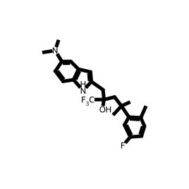 Cc1ccc(F)cc1C(C)(C)CC(O)(Cc1cc2cc(N(C)C)ccc2[nH]1)C(F)(F)F